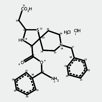 Cl.Cl.NC(OC(=O)C1NC(CC(=O)O)SC12CCN(Cc1ccccc1)CC2)c1ccccc1